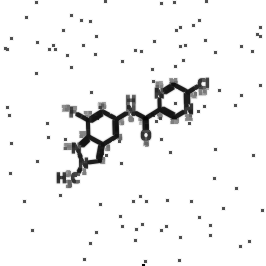 Cn1cc2cc(NC(=O)c3cnc(Cl)cn3)cc(F)c2n1